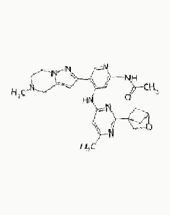 CC(=O)Nc1cc(Nc2cc(C)nc(C34COC(C3)C4)n2)c(-c2cc3n(n2)CCN(C)C3)cn1